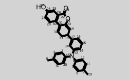 Cc1ccc(N(c2ccc(C)cc2)c2cccc(C3C=c4oc(=O)c5cc(O)ccc5c4=CC3)c2)cc1